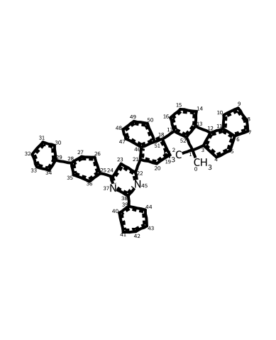 CC1(C)c2ccc3ccccc3c2-c2cccc(-c3ccc(-c4cc(-c5ccc(-c6ccccc6)cc5)nc(-c5ccccc5)n4)c4ccccc34)c21